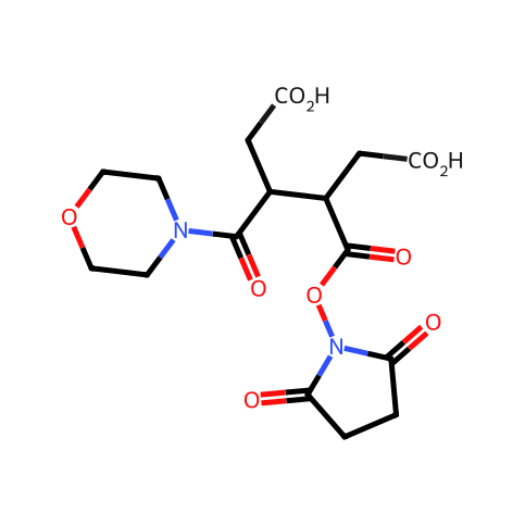 O=C(O)CC(C(=O)ON1C(=O)CCC1=O)C(CC(=O)O)C(=O)N1CCOCC1